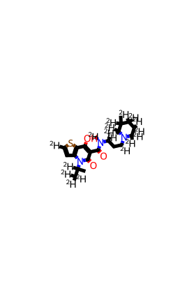 [2H]c1cc2c(s1)c(O)c(C(=O)N([2H])C([2H])CC([2H])N1C([2H])([2H])C([2H])([2H])C([2H])([2H])C([2H])(C)C1([2H])[2H])c(=O)n2C([2H])(C)C([2H])([2H])[2H]